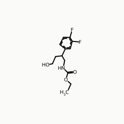 CCOC(=O)NCC(CCO)c1ccc(F)c(F)c1